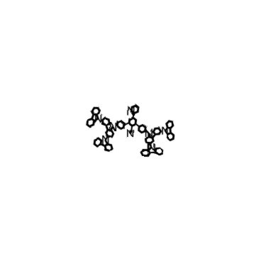 N#Cc1c(-c2ccc(-n3c4ccc(-n5c6ccccc6c6ccccc65)cc4c4cc(-n5c6ccccc6c6ccccc65)ccc43)cc2)cc(-c2ccccn2)cc1-c1ccc(-n2c3ccc(-n4c5ccccc5c5ccccc54)cc3c3cc(-n4c5ccccc5c5ccccc54)ccc32)cc1